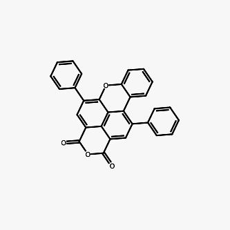 O=c1oc(=O)c2cc(-c3ccccc3)c3c4ccccc4oc4c(-c5ccccc5)cc1c2c43